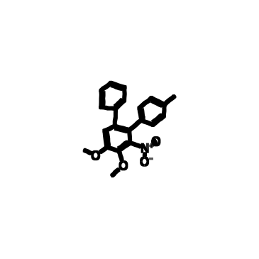 COc1cc(-c2ccccc2)c(-c2ccc(C)cc2)c([N+](=O)[O-])c1OC